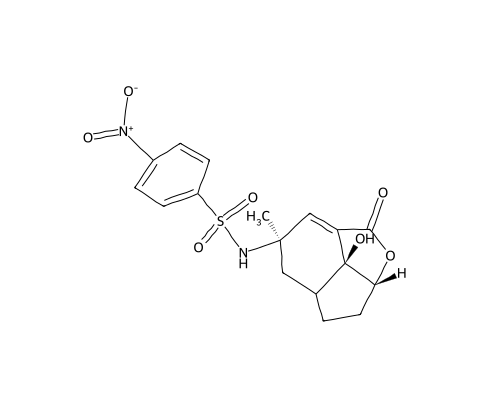 C[C@]1(NS(=O)(=O)c2ccc([N+](=O)[O-])cc2)C=C2C(=O)O[C@@H]3CCC(C1)[C@]23O